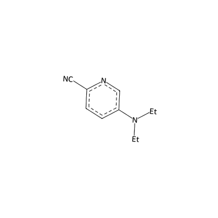 CCN(CC)c1ccc(C#N)nc1